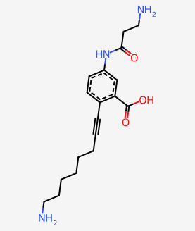 NCCCCCCC#Cc1ccc(NC(=O)CCN)cc1C(=O)O